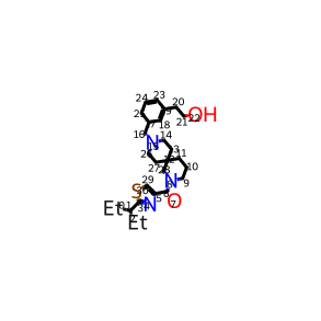 CCC(CC)c1nc(C(=O)N2CCCC3(CCN(CC4C=C(CCO)C=CC4)CC3)C2)cs1